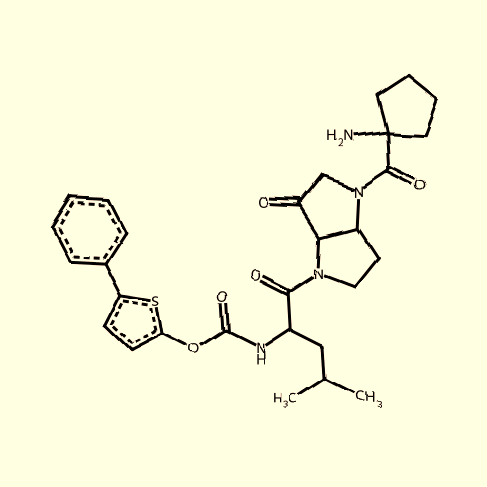 CC(C)CC(NC(=O)Oc1ccc(-c2ccccc2)s1)C(=O)N1CCC2C1C(=O)CN2C(=O)C1(N)CCCC1